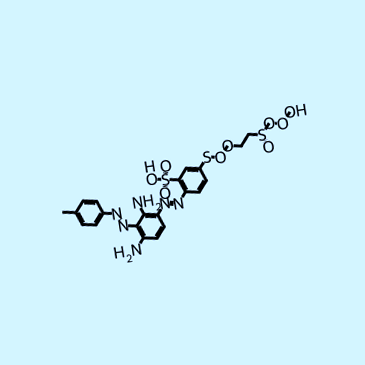 Cc1ccc(N=Nc2c(N)ccc(N=Nc3ccc(SOOCCS(=O)OOO)cc3S(=O)(=O)O)c2N)cc1